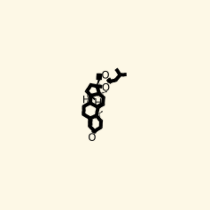 C#C[C@]1(OC(=O)CC(C)C)CC[C@H]2[C@@H]3CCC4=CC(=O)CC[C@]4(C)C3=CC[C@@]21C